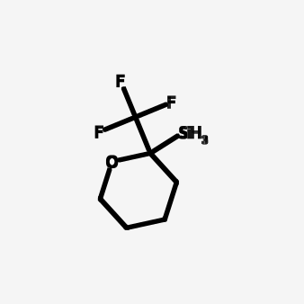 FC(F)(F)C1([SiH3])CCCCO1